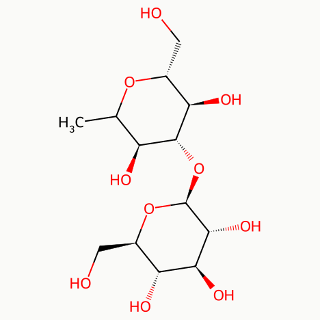 CC1O[C@H](CO)[C@@H](O)[C@H](O[C@@H]2O[C@H](CO)[C@@H](O)[C@H](O)[C@H]2O)[C@H]1O